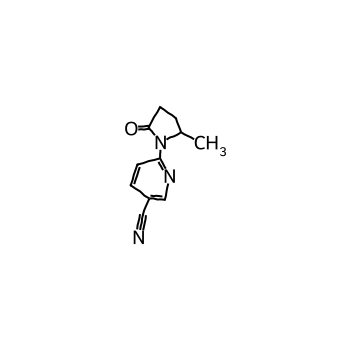 CC1CCC(=O)N1c1ccc(C#N)cn1